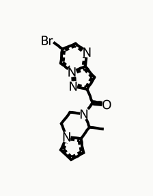 CC1c2cccn2CCN1C(=O)c1cc2ncc(Br)cn2n1